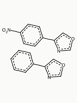 O=[N+]([O-])c1ccc(-c2cocn2)cc1.c1ccc(-c2cocn2)cc1